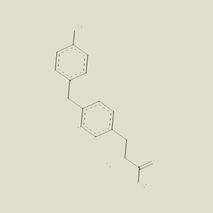 COC(=O)[C@H](N)Cc1ccc(Cc2ccc(C=O)cc2)cc1